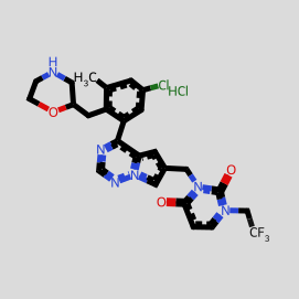 Cc1cc(Cl)cc(-c2ncnn3cc(Cn4c(=O)ccn(CC(F)(F)F)c4=O)cc23)c1CC1CNCCO1.Cl